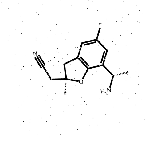 C[C@H](N)c1cc(F)cc2c1O[C@@](C)(CC#N)C2